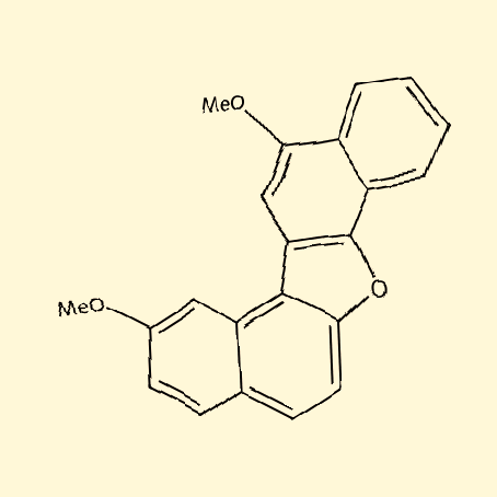 COc1ccc2ccc3oc4c5ccccc5c(OC)cc4c3c2c1